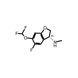 CN[C@H]1COc2cc(OC(F)F)c(F)cc21